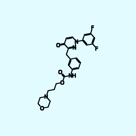 O=C(Nc1cccc(Cc2nn(-c3cc(F)cc(F)c3)ccc2=O)c1)OCCCN1CCOCC1